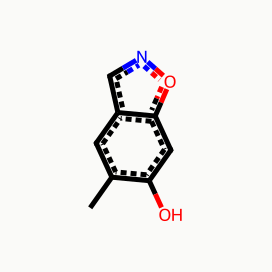 Cc1cc2cnoc2cc1O